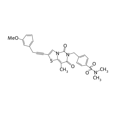 COc1cccc(CC#Cc2cn3c(=O)n(Cc4ccc(S(=O)(=O)N(C)C)cc4)c(=O)c(C)c3s2)c1